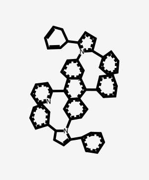 C1=CCC(c2ccc(-c3ccccc3)n2-c2ccc3c(-c4ccccn4)c4cc(N5C(c6ccccc6)=CCC5c5ccccc5)ccc4c(-c4ccccc4)c3c2)C=C1